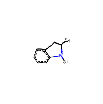 [2H]C1Cc2ccccc2N1[2H]